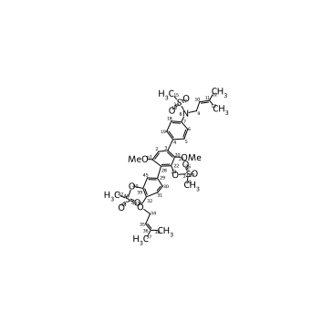 COc1cc(-c2ccc(N(CC=C(C)C)S(C)(=O)=O)cc2)c(OC)c(OS(C)(=O)=O)c1-c1ccc(OCC=C(C)C)c(OS(C)(=O)=O)c1